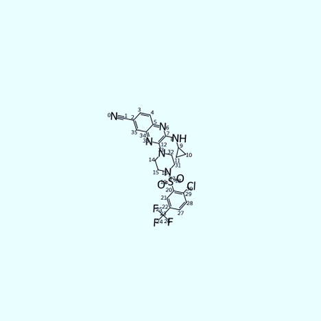 N#Cc1ccc2nc(NC3CC3)c(N3CCN(S(=O)(=O)c4cc(C(F)(F)F)ccc4Cl)CC3)nc2c1